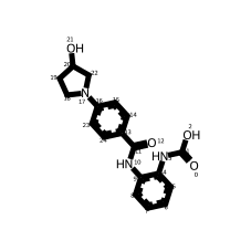 O=C(O)Nc1ccccc1NC(=O)c1ccc(N2CCC(O)C2)cc1